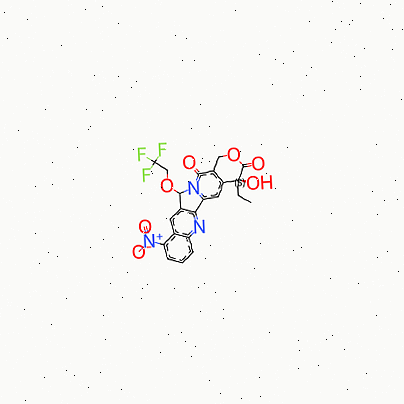 CC[C@@]1(O)C(=O)OCc2c1cc1n(c2=O)C(OCC(F)(F)F)c2cc3c([N+](=O)[O-])cccc3nc2-1